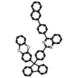 c1ccc2c(c1)Oc1ccc(C3(c4ccc(-c5nc(-c6ccc(-c7ccc8ccccc8c7)cc6)c6ccccc6n5)cc4)c4ccccc4-c4ccccc43)cc1O2